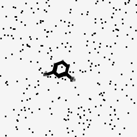 CC(C)C1=C[CH]CC(C(F)(F)F)=C1